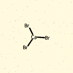 [Br][Ca]([Br])[Br]